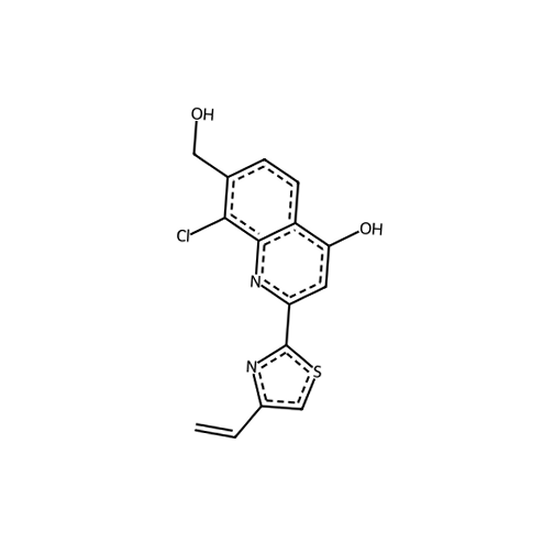 C=Cc1csc(-c2cc(O)c3ccc(CO)c(Cl)c3n2)n1